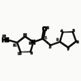 O=C(CC1CCCC1)N1CCC(S)C1